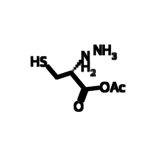 CC(=O)OC(=O)[C@@H](N)CS.N